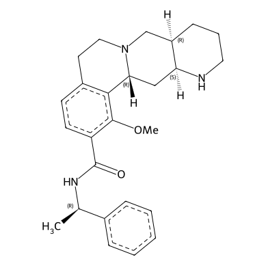 COc1c(C(=O)N[C@H](C)c2ccccc2)ccc2c1[C@H]1C[C@@H]3NCCC[C@@H]3CN1CC2